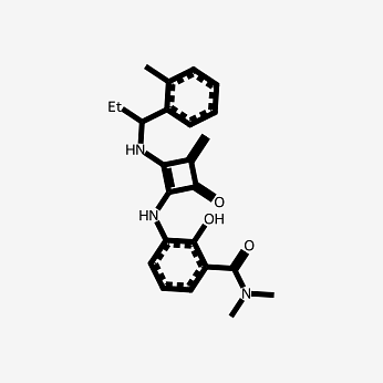 C=C1C(=O)C(Nc2cccc(C(=O)N(C)C)c2O)=C1NC(CC)c1ccccc1C